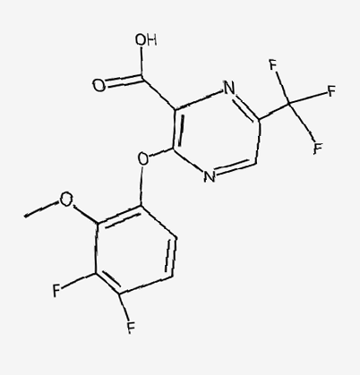 COc1c(Oc2ncc(C(F)(F)F)nc2C(=O)O)ccc(F)c1F